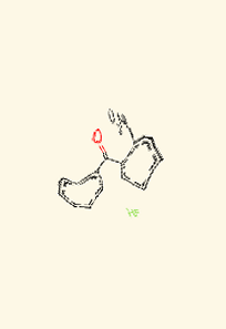 F.O=C(c1ccccc1)c1ccccc1[N+](=O)[O-]